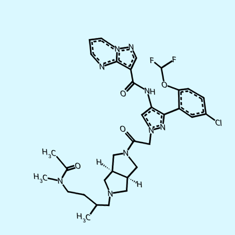 CC(=O)N(C)CCC(C)CN1C[C@@H]2CN(C(=O)Cn3cc(NC(=O)c4cnn5cccnc45)c(-c4cc(Cl)ccc4OC(F)F)n3)C[C@@H]2C1